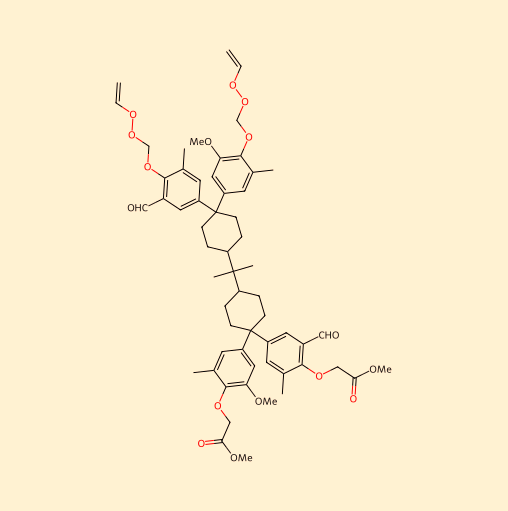 C=COOCOc1c(C)cc(C2(c3cc(C)c(OCOOC=C)c(OC)c3)CCC(C(C)(C)C3CCC(c4cc(C)c(OCC(=O)OC)c(C=O)c4)(c4cc(C)c(OCC(=O)OC)c(OC)c4)CC3)CC2)cc1C=O